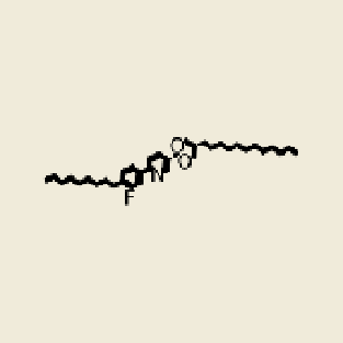 CCCCCCCCCCCC[C@H]1CO[C@H](c2ccc(-c3ccc(CCCCCCCCC)c(F)c3)nc2)OC1